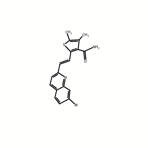 Cc1sc(C=Cc2ccc3ccc(Br)cc3n2)c(C(N)=O)c1C